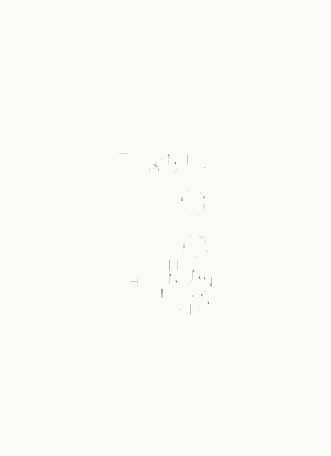 Cc1nnn(-c2ccc(-c3ccc(C4(C(=O)NS(C)(=O)=O)CC4)cc3)cc2)c1NC(=O)O